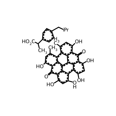 CC(C)Cc1ccc(C(C)C(=O)O)cc1.Cc1cc(O)c2c(=O)c3c(O)cc(O)c4c5c(O)cc(O)c6c(=O)c7c(O)cc(C)c8c1c2c(c34)c(c78)c65